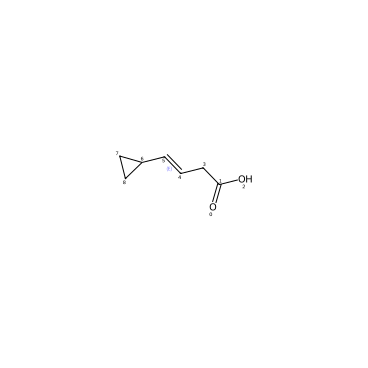 O=C(O)C/C=C/C1CC1